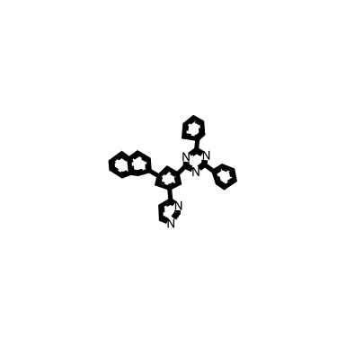 c1ccc(-c2nc(-c3ccccc3)nc(-c3cc(-c4ccc5ccccc5c4)cc(-c4ccncn4)c3)n2)cc1